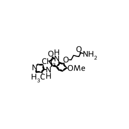 COc1ccc2c(Nc3c(C)cncc3C)cc(=O)[nH]c2c1OCCCC(N)=O